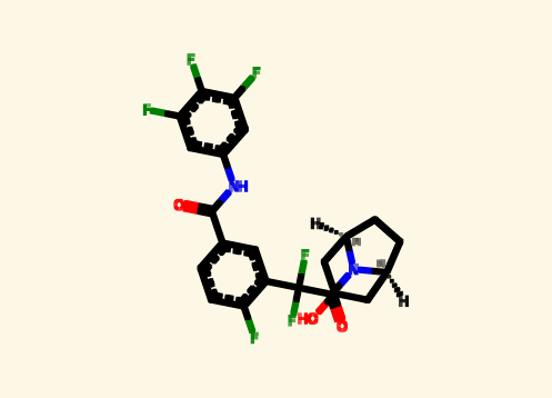 O=C(Nc1cc(F)c(F)c(F)c1)c1ccc(F)c(C(F)(F)C(=O)N2[C@@H]3CC[C@H]2CC(O)C3)c1